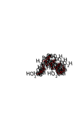 Cc1cc(COc2c(Br)cc(C(=O)NCC(=O)O)cc2Br)c(F)c(NCC2CC2)c1.Cc1cc(COc2c(Br)cc(CCC(=O)O)cc2Br)c(F)c(NCC2CC2)c1.Cc1cc(COc2c(Cl)cc(CCC(=O)O)cc2Cl)c(F)c(NCC2CC2)c1.O=C(O)CNC(=O)c1cc(Cl)c(OCc2cccc(NCC3CC3)c2Cl)c(Cl)c1.O=C(O)Cc1cc(Cl)c(OCc2cccc(NCC3CC3)c2Cl)c(Cl)c1